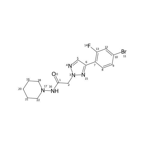 O=C(Cn1ncc(-c2ccc(Br)cc2F)n1)NN1CCCCC1